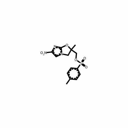 Cc1ccc(S(=O)(=O)OCC2(C)Cn3cc([N+](=O)[O-])nc3O2)cc1